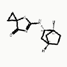 O=C1N=C(N[C@H]2C[C@H]3CC[C@H]2C3)SC12CC2